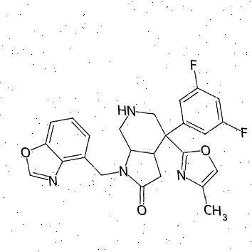 Cc1coc(C2(c3cc(F)cc(F)c3)CNCC3C2CC(=O)N3Cc2cccc3ocnc23)n1